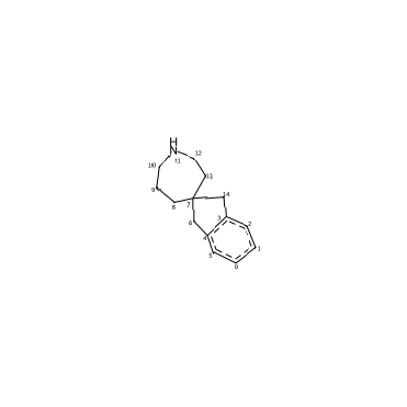 c1ccc2c(c1)CC1(CCCNCC1)C2